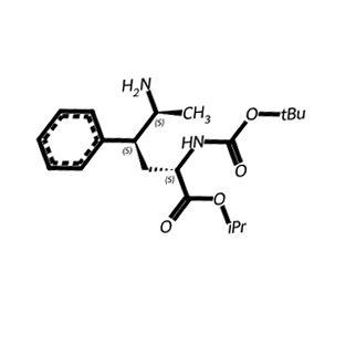 CC(C)OC(=O)[C@H](C[C@@H](c1ccccc1)[C@H](C)N)NC(=O)OC(C)(C)C